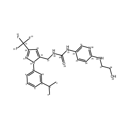 CC(C)c1cccc(-n2nc(C(F)(F)F)cc2CNC(=O)Nc2ccc(NCCO)nc2)c1